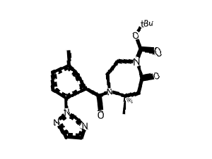 Cc1ccc(-n2nccn2)c(C(=O)N2CCN(C(=O)OC(C)(C)C)C(=O)C[C@H]2C)c1